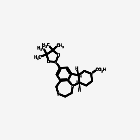 CC1(C)OB(c2cc3c4c(c2)[C@@H]2CN(C(=O)O)CC[C@@H]2N4CCSC3)OC1(C)C